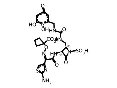 Nc1nc(C(=NOC2(C(=O)O)CCC2)C(=O)N[C@@H]2C(=O)N(S(=O)(=O)O)[C@@H]2CNC(=O)NCc2cc(=O)cc(O)n2O)cs1